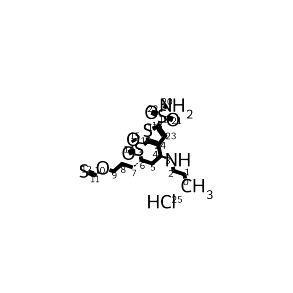 CCCN[C@H]1C[C@H](CCCOC=S)S(=O)(=O)c2sc(S(N)(=O)=O)cc21.Cl